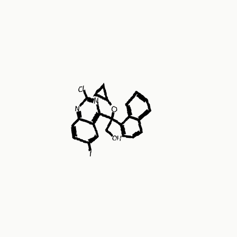 OCC(OC1CC1)(c1cccc2ccccc12)c1nc(Cl)nc2ccc(I)cc12